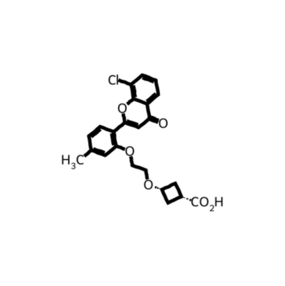 Cc1ccc(-c2cc(=O)c3cccc(Cl)c3o2)c(OCCO[C@H]2C[C@@H](C(=O)O)C2)c1